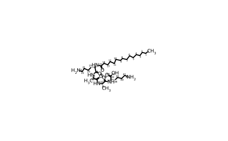 CCCCCCCCCCCCCCCC(=O)N[C@@H](CCCCN)C(=O)N[C@@H](C)C(=O)N[C@@H](C)C(=O)N[C@@H](CCCCN)C(=O)O